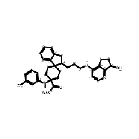 COC(=O)C1(Nc2cccc(Cl)c2)CCC2(CC1)c1ccccc1CC2CCCOc1ccnc2c1CCC2O